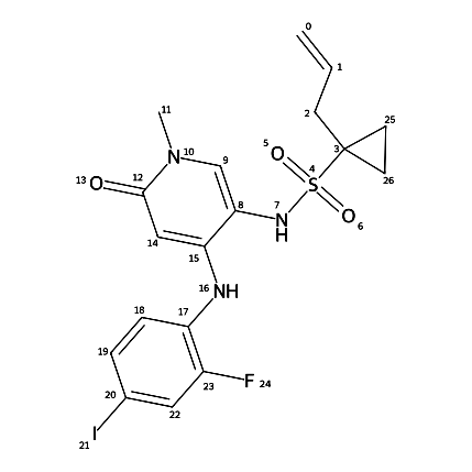 C=CCC1(S(=O)(=O)Nc2cn(C)c(=O)cc2Nc2ccc(I)cc2F)CC1